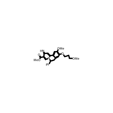 COCCCOc1cc2c(cc1OC)-c1cc(=N)c(C(=O)OC)cn1C(C(C)C)C2